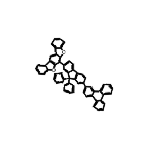 c1ccc(C2(c3ccccc3)c3cc(-c4ccc5c6ccccc6c6ccccc6c5c4)ccc3-c3ccc(-c4c5oc6ccccc6c5cc5c4oc4ccccc45)cc32)cc1